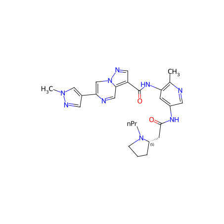 CCCN1CCC[C@H]1CC(=O)Nc1cnc(C)c(NC(=O)c2cnn3cc(-c4cnn(C)c4)ncc23)c1